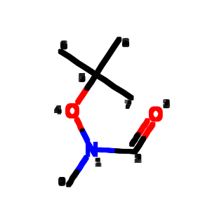 CN(C=O)OC(C)(C)C